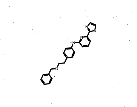 c1ccc(COCCc2ccc(Nc3cccc(-c4nccs4)n3)cc2)cc1